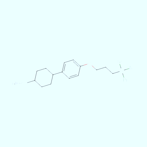 CCCCCCCC1CCC(c2ccc(OCCC[Si](Br)(Br)Br)cc2)CC1